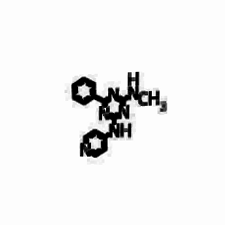 CNc1nc(Nc2ccncc2)nc(-c2ccccc2)n1